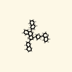 c1ccc2cc(-c3cc(-c4ccc(-c5ccnc6ccccc56)nc4)c4cc(-c5ccc6ccccc6c5)c5ccccc5c4n3)ccc2c1